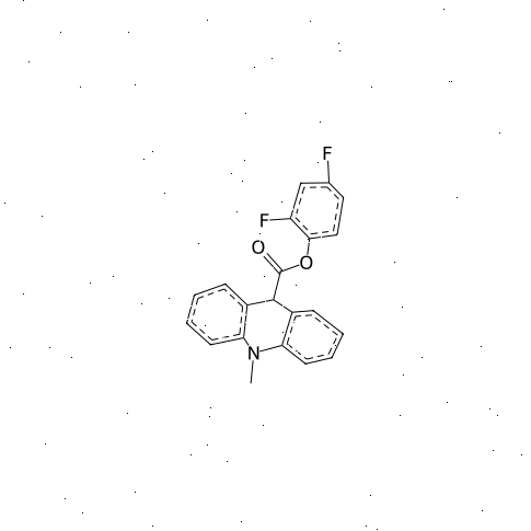 CN1c2ccccc2C(C(=O)Oc2ccc(F)cc2F)c2ccccc21